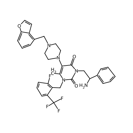 Cc1c(N2CCN(Cc3cccc4occc34)CC2)c(=O)n(CC(N)c2ccccc2)c(=O)n1Cc1c(F)cccc1C(F)(F)F